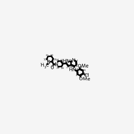 COc1cc(Nc2ccnc3[nH]c(C4=CCN(C(=O)C5CCCCN5C)CC4)cc23)c(OC)cc1Cl